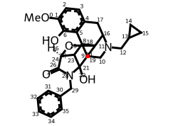 COc1ccc2c(c1O)C13CCN(CC4CC4)C(C2)C12CCC1(O)C3[C@H](O2)C(=O)N1Cc1ccccc1